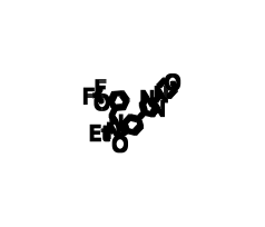 CCn1c(=O)c2ccc(-c3cnc(N4CCOCC4)nc3)cc2n1Cc1ccccc1OC(F)F